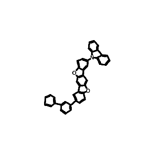 c1ccc(-c2cccc(-c3ccc4oc5cc6c(cc5c4c3)oc3ccc(-n4c5ccccc5c5ccccc54)cc36)c2)cc1